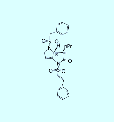 CCC[C@H]1C(=O)N(S(=O)(=O)C=Cc2ccccc2)C2=CCN(S(=O)(=O)Cc3ccccc3)[C@@H]21